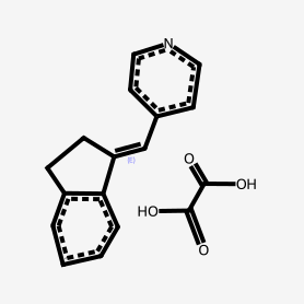 C(=C1/CCc2ccccc21)/c1ccncc1.O=C(O)C(=O)O